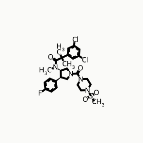 CN(C(=O)C(C)(C)c1cc(Cl)cc(Cl)c1)[C@@H]1CN(C(=O)N2CCN(S(C)(=O)=O)CC2)C[C@H]1c1ccc(F)cc1